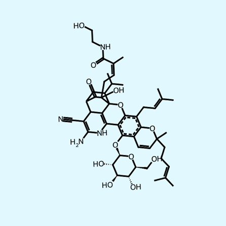 CC(C)=CCCC1(C)C=Cc2c(c(CC=C(C)C)c3c(c2O[C@H]2O[C@@H](CO)[C@H](O)[C@@H](O)[C@@H]2O)C2=C4C(C(C#N)=C(N)N2)C2CC(C(C)C)C4(O3)C(O)(C/C=C(/C)C(=O)NCCO)C2=O)O1